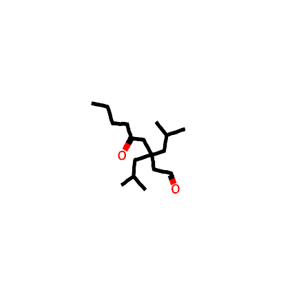 CCCCC(=O)CC(CC=O)(CC(C)C)CC(C)C